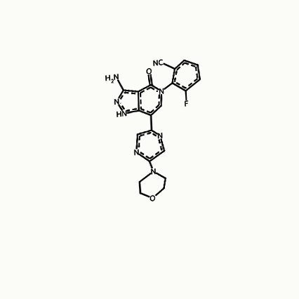 N#Cc1cccc(F)c1-n1cc(-c2cnc(N3CCOCC3)cn2)c2[nH]nc(N)c2c1=O